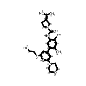 C/C(C#N)=C1/CCN(C(=O)Nc2cc(-c3cc(OCCO)nc(N4CCOCC4)c3)c(C)cc2F)C1